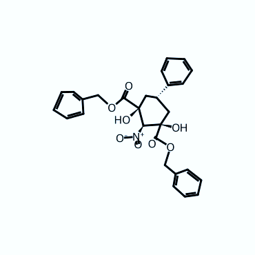 O=C(OCc1ccccc1)[C@]1(O)C[C@H](c2ccccc2)C[C@](O)(C(=O)OCc2ccccc2)[C@H]1[N+](=O)[O-]